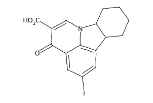 O=C(O)c1cn2c3c(cc(I)cc3c1=O)C1CCCCC12